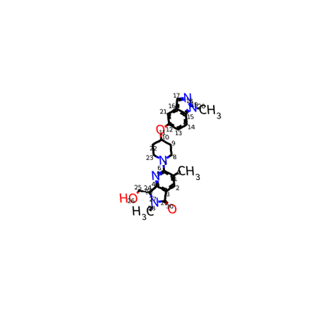 Cc1cc2c(nc1N1CCC(Oc3ccc4c(cnn4C)c3)CC1)[C@H](CO)N(C)C2=O